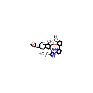 COc1c(C(=O)O)cnn1-c1cccc(-c2cccc(C)c2OCc2ccc3c(c2C)CC/C=C(/C[C@@H]2CCOC2)CC3)n1